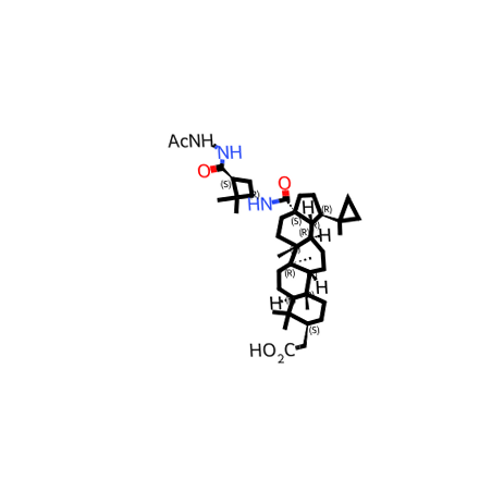 CC(=O)NNC(=O)[C@H]1C[C@@H](NC(=O)[C@]23CC[C@@H](C4(C)CC4)[C@@H]2[C@H]2CC[C@@H]4[C@]5(C)CC[C@@H](CC(=O)O)C(C)(C)[C@H]5CC[C@@]4(C)[C@]2(C)CC3)C1(C)C